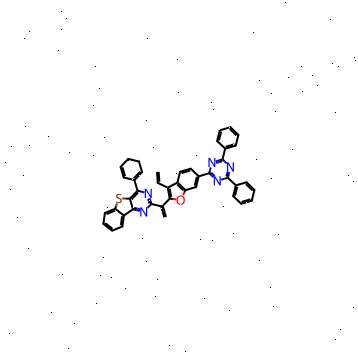 C=Cc1c(C(=C)c2nc(C3=CCCC=C3)c3sc4ccccc4c3n2)oc2cc(-c3nc(-c4ccccc4)nc(-c4ccccc4)n3)ccc12